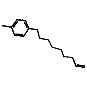 C=CCCCCCCCc1ccc(C)cc1